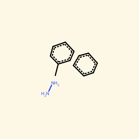 Cc1ccccc1.NN.c1ccccc1